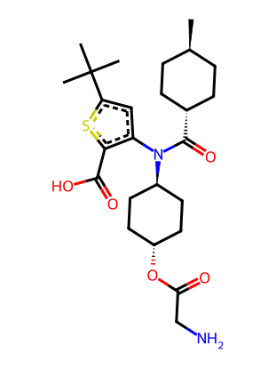 CC(C)(C)c1cc(N(C(=O)[C@H]2CC[C@H](C)CC2)[C@H]2CC[C@H](OC(=O)CN)CC2)c(C(=O)O)s1